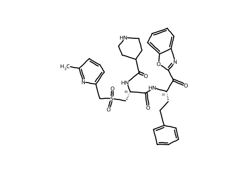 Cc1cccc(CS(=O)(=O)C[C@H](NC(=O)C2CCNCC2)C(=O)N[C@@H](CCc2ccccc2)C(=O)c2nc3ccccc3o2)n1